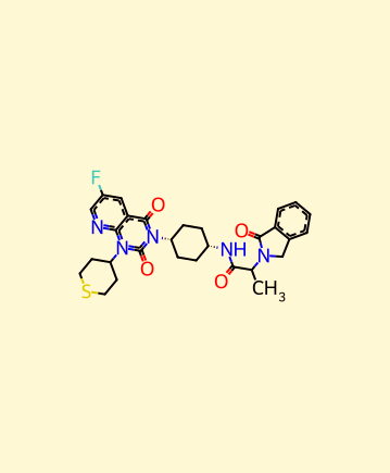 CC(C(=O)N[C@H]1CC[C@@H](n2c(=O)c3cc(F)cnc3n(C3CCSCC3)c2=O)CC1)N1Cc2ccccc2C1=O